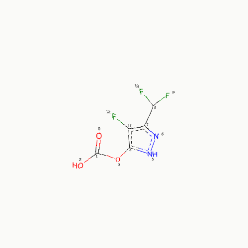 O=C(O)Oc1[nH]nc(C(F)F)c1F